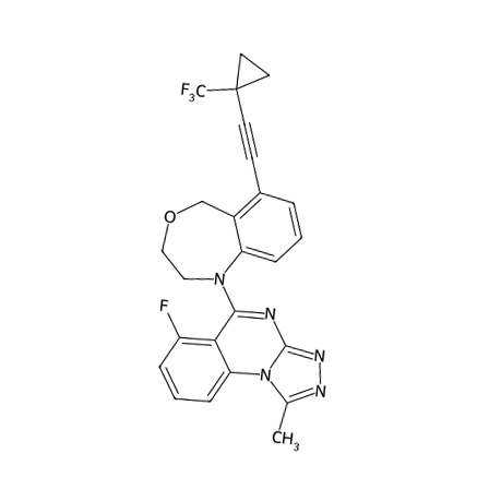 Cc1nnc2nc(N3CCOCc4c(C#CC5(C(F)(F)F)CC5)cccc43)c3c(F)cccc3n12